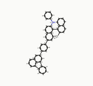 Cc1ccc2ccccc2c1-c1c(Nc2ccccc2)ccc2cc(-c3ccc(-c4cc5c6c(cccc6c4)-c4ccccc4-5)cc3)ccc12